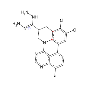 N/N=C(\NN)C1CCCN(c2ncnc3c(F)ccc(-c4ccc(Cl)c(Cl)c4)c23)C1